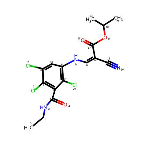 CCNC(=O)c1c(Cl)c(Cl)cc(NC=C(C#N)C(=O)OC(C)C)c1Cl